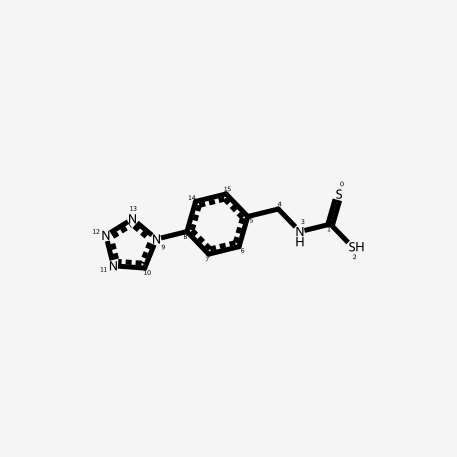 S=C(S)NCc1ccc(-n2cnnn2)cc1